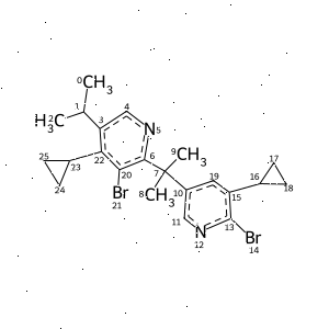 CC(C)c1cnc(C(C)(C)c2cnc(Br)c(C3CC3)c2)c(Br)c1C1CC1